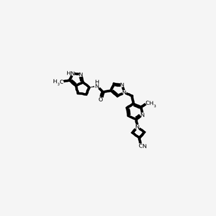 Cc1nc(N2CC(C#N)C2)ccc1Cn1cc(C(=O)N[C@@H]2CCc3c2n[nH]c3C)cn1